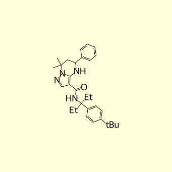 CCC(CC)(NC(=O)c1cnn2c1NC(c1ccccc1)CC2(C)C)c1ccc(C(C)(C)C)cc1